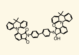 CC1(C)c2ccccc2N(c2cccc3c2C(=O)N(c2ccc(-c4ccc(N5C(=O)c6c(cccc6N6c7ccccc7C(C)(C)c7ccccc76)C5O)cc4)cc2)C3=O)c2ccccc21